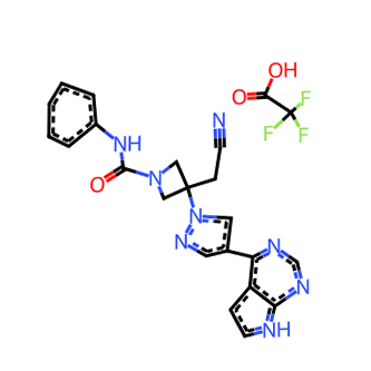 N#CCC1(n2cc(-c3ncnc4[nH]ccc34)cn2)CN(C(=O)Nc2ccccc2)C1.O=C(O)C(F)(F)F